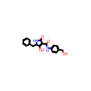 O=C(Nc1ccc(CO)cc1)C1=C(O)C(Cc2ccccc2)NC1=O